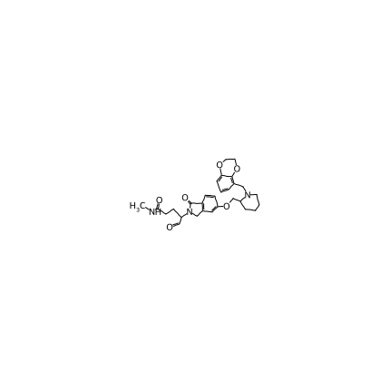 CNC(=O)CCC(C=O)N1Cc2cc(OCC3CCCCN3Cc3cccc4c3OCCO4)ccc2C1=O